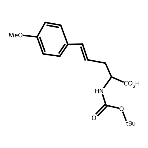 COc1ccc(C=CCC(NC(=O)OC(C)(C)C)C(=O)O)cc1